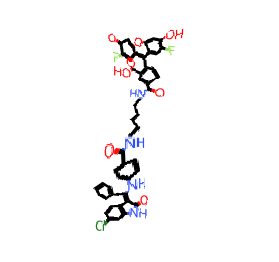 O=C1Nc2cc(Cl)ccc2/C1=C(/Nc1ccc(C(=O)NCCCCCCNC(=O)c2ccc(-c3c4cc(F)c(=O)cc-4oc4cc(O)c(F)cc34)c(C(=O)O)c2)cc1)c1ccccc1